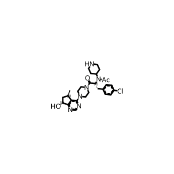 CC(=O)N(C1CCNCC1)[C@H](Cc1ccc(Cl)cc1)C(=O)N1CCN(c2ncnc3c2[C@H](C)C[C@H]3O)CC1